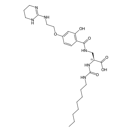 CCCCCCCCNC(=O)N[C@@H](CNC(=O)c1ccc(OCCNC2=NCCCN2)cc1O)C(=O)O